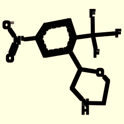 O=[N+]([O-])c1ccc(C(F)(F)F)c(C2CNCCO2)c1